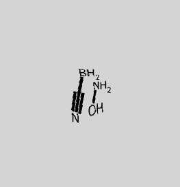 BC#N.NO